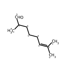 CC(C)=CCCCC(C)C=O